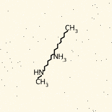 CCCCCCCCCCCCCCCCNCCC.N